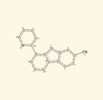 N#Cc1ccc2c(c1)oc1c(-c3ccccn3)cccc12